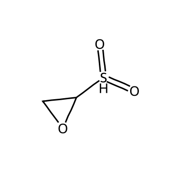 O=[SH](=O)C1CO1